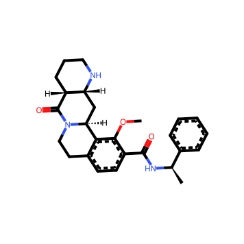 COc1c(C(=O)N[C@H](C)c2ccccc2)ccc2c1[C@@H]1C[C@H]3NCCC[C@H]3C(=O)N1CC2